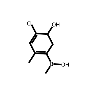 CB(O)C1=C(C)C=C(Cl)C(O)C1